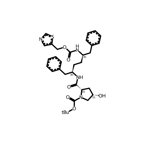 CC(C)(C)OC(=O)N1C[C@@H](O)C[C@H]1C(=O)N[C@H](CC[C@H](Cc1ccccc1)NC(=O)OCc1cncs1)Cc1ccccc1